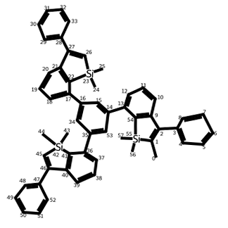 CC1=C(c2ccccc2)c2cccc(-c3cc(-c4cccc5c4[Si](C)(C)C=C5c4ccccc4)cc(-c4cccc5c4[Si](C)(C)C=C5c4ccccc4)c3)c2[Si]1(C)C